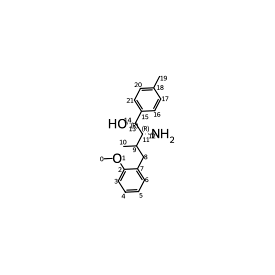 COc1ccccc1CC(C)[C@@H](N)[C@H](O)c1ccc(C)cc1